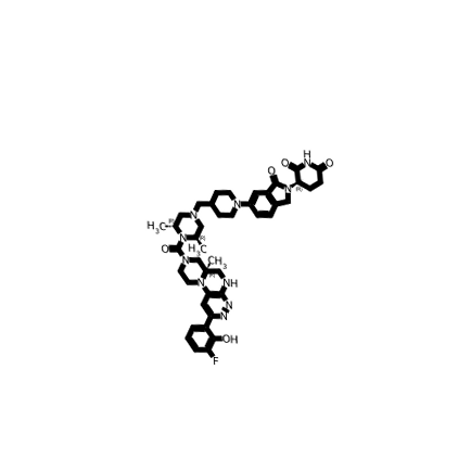 C[C@@H]1CN(CC2CCN(c3ccc4c(c3)C(=O)N([C@@H]3CCC(=O)NC3=O)C4)CC2)C[C@@H](C)N1C(=O)N1CCN2c3cc(-c4cccc(F)c4O)nnc3NC[C@]2(C)C1